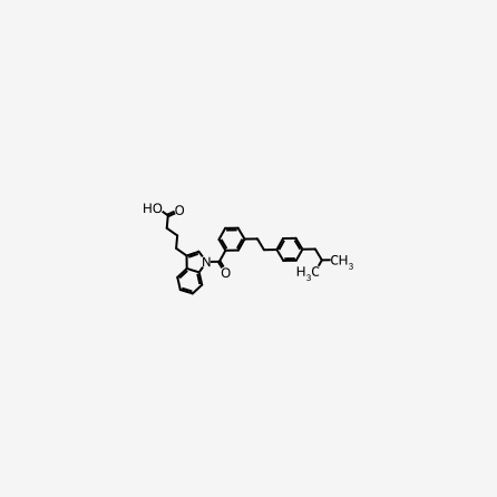 CC(C)Cc1ccc(CCc2cccc(C(=O)n3cc(CCCC(=O)O)c4ccccc43)c2)cc1